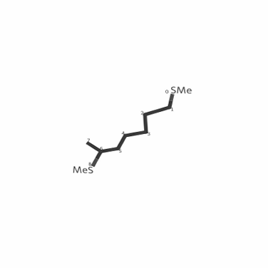 CSCCCCCC(C)SC